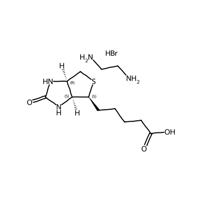 Br.NCCN.O=C(O)CCCC[C@@H]1SC[C@@H]2NC(=O)N[C@@H]21